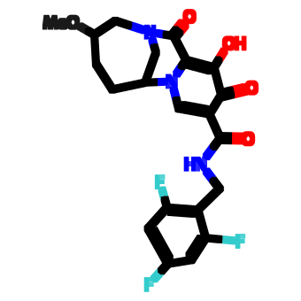 COC1CCC2CN(C1)C(=O)c1c(O)c(=O)c(C(=O)NCc3c(F)cc(F)cc3F)cn12